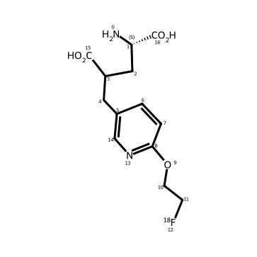 N[C@@H](CC(Cc1ccc(OCC[18F])nc1)C(=O)O)C(=O)O